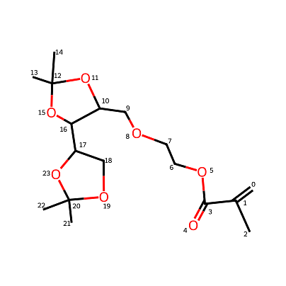 C=C(C)C(=O)OCCOCC1OC(C)(C)OC1C1COC(C)(C)O1